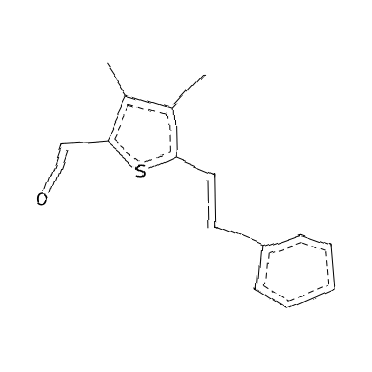 Cc1c(C=O)sc(/C=C/c2ccccc2)c1C